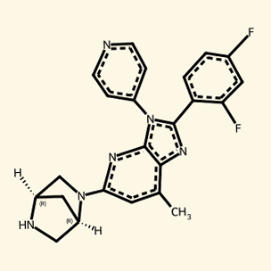 Cc1cc(N2C[C@H]3C[C@@H]2CN3)nc2c1nc(-c1ccc(F)cc1F)n2-c1ccncc1